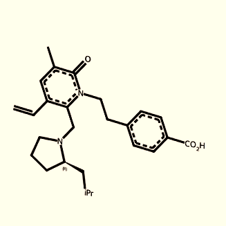 C=Cc1cc(C)c(=O)n(CCc2ccc(C(=O)O)cc2)c1CN1CCC[C@@H]1CC(C)C